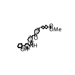 COC(=O)[C@H]1CC2(C[C@H](CN3CCN(C(=O)CN4CCN5c6cc(-c7ccccc7O)nnc6NC[C@]5(C)C4)CC3)C2)C1